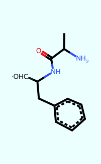 CC(N)C(=O)NC([C]=O)Cc1ccccc1